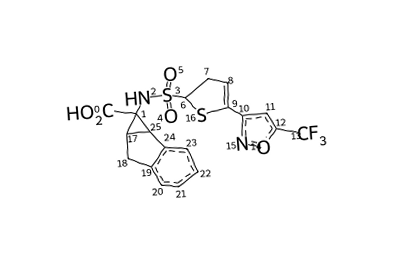 O=C(O)C1(NS(=O)(=O)C2CC=C(c3cc(C(F)(F)F)on3)S2)C2Cc3ccccc3C21